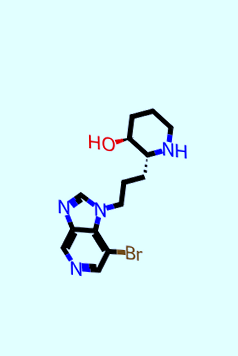 O[C@H]1CCCN[C@@H]1CCCn1cnc2cncc(Br)c21